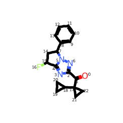 O=C(c1nc2n(n1)C(c1ccccc1)CC2F)C1(C2CC2)CC1